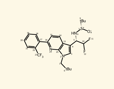 CC(C)(C)Cn1cc([C@H](N[S@@+]([O-])C(C)(C)C)C(F)F)c2ccc(-c3ccccc3C(F)(F)F)nc21